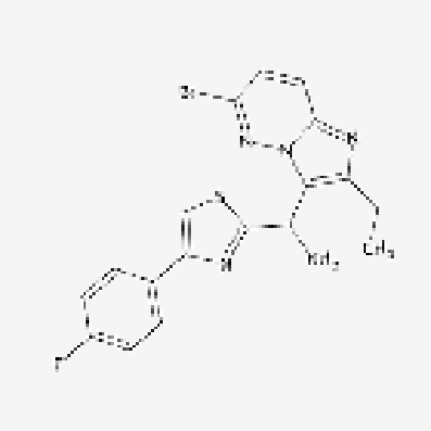 CCc1nc2ccc(Br)nn2c1C(N)c1nc(-c2ccc(F)cc2)cs1